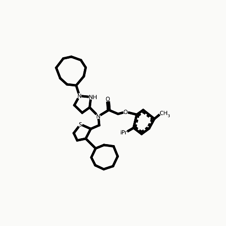 Cc1ccc(C(C)C)c(OCC(=O)N(CC2SCCC2C2CCCCCCC2)C2CCN(C3CCCCCCCC3)N2)c1